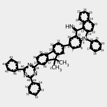 CC1(C)c2cc(-c3cccc(C(=N)c4c(Nc5ccccc5)ccc5ccccc45)c3)ccc2-c2ccc(-c3nc(-c4ccccc4)nc(-c4ccccc4)n3)cc21